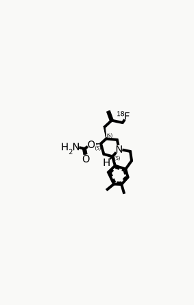 C=C(C[18F])C[C@H]1CN2CCc3cc(C)c(C)cc3[C@@H]2C[C@@H]1OC(N)=O